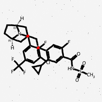 CS(=O)(=O)NC(=O)c1cc(C2CC2)c(OCC2C[C@H]3CC[C@@H](C2)N3Cc2cc(C(F)(F)F)cc(Cl)c2F)cc1F